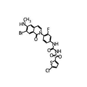 CNc1cc2ccn(-c3ccc(NC(=O)NS(=O)(=O)c4ccc(Cl)s4)cc3F)c(=O)c2cc1Br